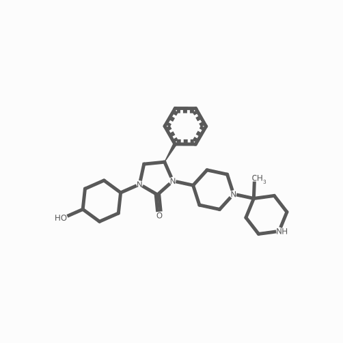 CC1(N2CCC(N3C(=O)N(C4CCC(O)CC4)C[C@H]3c3ccccc3)CC2)CCNCC1